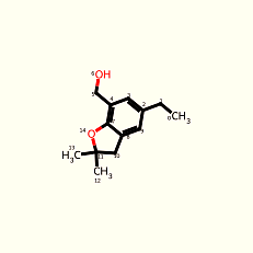 CCc1cc(CO)c2c(c1)CC(C)(C)O2